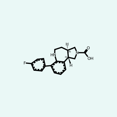 O=C(O)N1C[C@@H]2CCNc3c(-c4ccc(F)cc4)cccc3[C@H]2C1